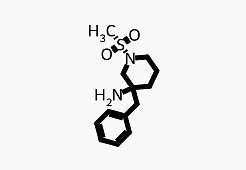 CS(=O)(=O)N1CCCC(N)(Cc2ccccc2)C1